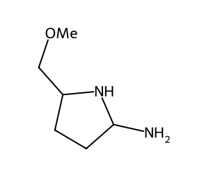 COCC1CCC(N)N1